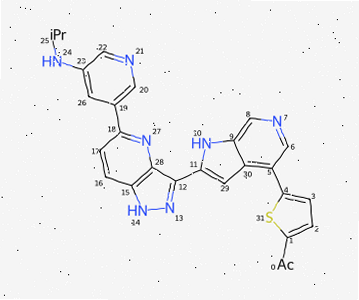 CC(=O)c1ccc(-c2cncc3[nH]c(-c4n[nH]c5ccc(-c6cncc(NC(C)C)c6)nc45)cc23)s1